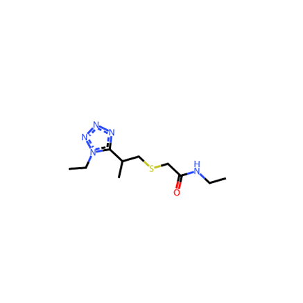 CCNC(=O)CSCC(C)c1nnnn1CC